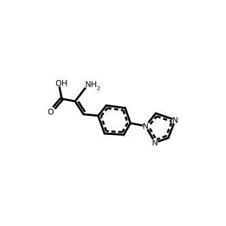 NC(=Cc1ccc(-n2cncn2)cc1)C(=O)O